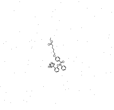 CCOC(=O)CCCCCOc1ccc(C(=O)N(Oc2ccccc2-c2nnn[nH]2)c2ccccc2)cc1